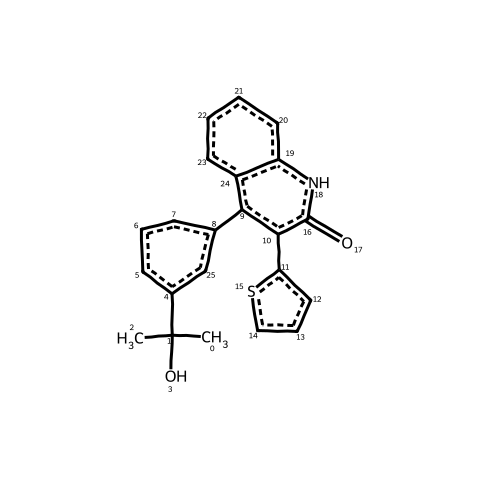 CC(C)(O)c1cccc(-c2c(-c3cccs3)c(=O)[nH]c3ccccc23)c1